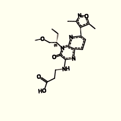 CC[C@@H](COC)n1c(=O)c(NCCC(=O)O)nc2ccc(-c3c(C)noc3C)nc21